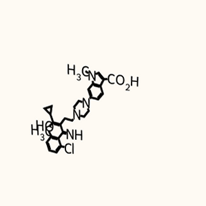 Cc1cccc(Cl)c1C(=N)/C(CCN1CCN(c2ccc3c(C(=O)O)cn(C)c3c2)CC1)=C(\O)C1CC1